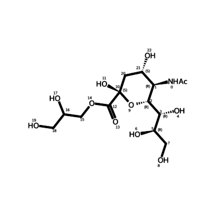 CC(=O)N[C@H]1[C@H]([C@H](O)[C@H](O)CO)O[C@](O)(C(=O)OCC(O)CO)C[C@@H]1O